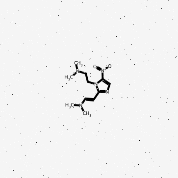 CN(C)C=Cc1ncc([N+](=O)[O-])n1CCN(C)C